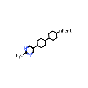 CCCCCC1CCC(C2CCC(c3cnc(C(F)(F)F)nc3)CC2)CC1